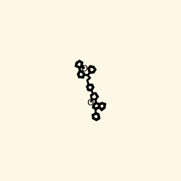 C1=CC2c3c(cc(-c4ccccc4)c4ccccc34)OC2C=C1c1ccc(CCC(c2ccccc2)c2cccc3c2oc2ccccc23)cc1